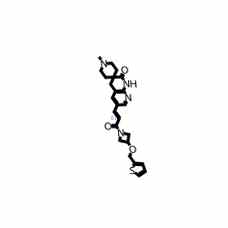 CN1CCC2(CC1)Cc1cc(/C=C/C(=O)N3CC(OCc4cccs4)C3)cnc1NC2=O